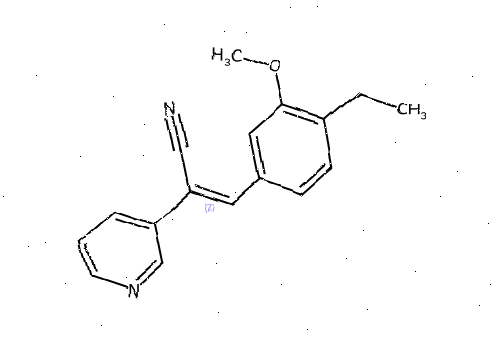 CCc1ccc(/C=C(\C#N)c2cccnc2)cc1OC